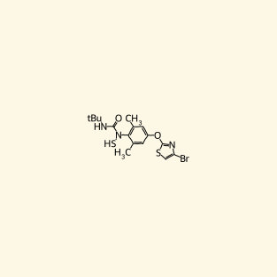 Cc1cc(Oc2nc(Br)cs2)cc(C)c1N(S)C(=O)NC(C)(C)C